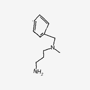 CN(CCCN)Cc1cc[c]cc1